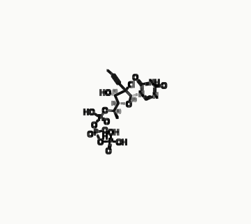 CC#CC1(Cl)[C@@H](O)[C@@H]([C@@H](C)OP(=O)(O)OP(=O)(O)OP(=O)(O)O)O[C@H]1n1cnc(=O)[nH]c1=O